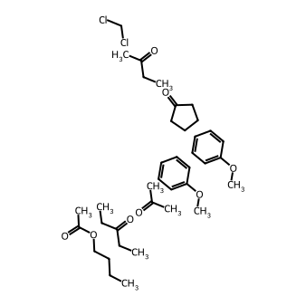 CC(C)=O.CCC(=O)CC.CCC(C)=O.CCCCOC(C)=O.COc1ccccc1.COc1ccccc1.ClCCl.O=C1CCCC1